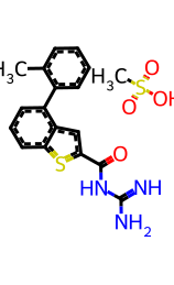 CS(=O)(=O)O.Cc1ccccc1-c1cccc2sc(C(=O)NC(=N)N)cc12